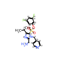 CC(C)c1nc(CN)n(Cc2ccncc2)c1S(=O)(=O)Oc1cc(F)cc(F)c1